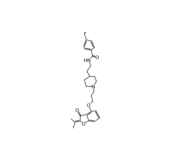 CC(C)=C1Oc2cccc(OCCCN3CCC(CCNC(=O)c4ccc(F)cc4)CC3)c2C1=O